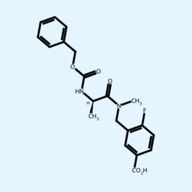 C[C@@H](NC(=O)OCc1ccccc1)C(=O)N(C)Cc1cc(C(=O)O)ccc1F